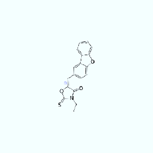 CCN1C(=O)/C(=C\c2ccc3oc4ccccc4c3c2)OC1=S